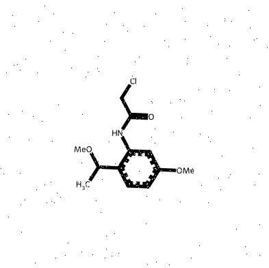 COc1ccc(C(C)OC)c(NC(=O)CCl)c1